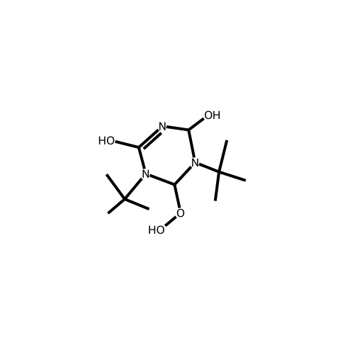 CC(C)(C)N1C(O)=NC(O)N(C(C)(C)C)C1OO